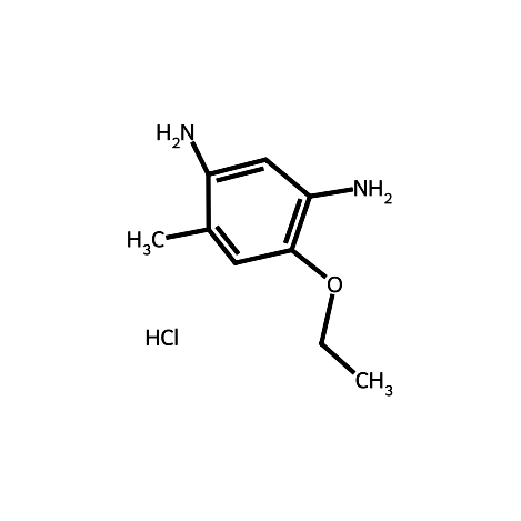 CCOc1cc(C)c(N)cc1N.Cl